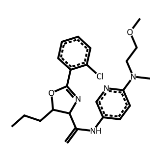 C=C(Nc1ccc(N(C)CCOC)nc1)C1N=C(c2ccccc2Cl)OC1CCC